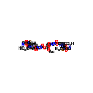 CC(=O)CCC(COCC(C)=O)(COCC(=O)N1CCN(C(=O)Oc2ccc(C[C@H](NC(=O)[C@H]3N(S(=O)(=O)c4cccnc4)CSC3(C)C)C(=O)O)cc2)CC1)COCC(=O)N1CCN(C(=O)Oc2ccc(C[C@H](NC(=O)[C@H]3N(S(=O)(=O)c4cccnc4)CSC3(C)C)C(=O)O)cc2)CC1